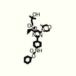 C[C@H]1COCCN1c1cc(C2(S(=O)(=O)CCC(C)(C)O)CC2)nc(-c2ccc(NC(=O)Oc3ccccc3)cc2)n1